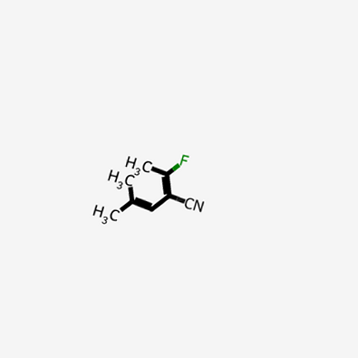 CC(C)=C/C(C#N)=C(\C)F